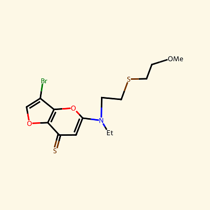 CCN(CCSCCOC)c1cc(=S)c2occ(Br)c2o1